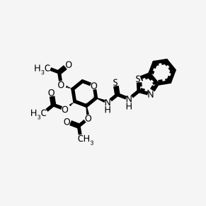 CC(=O)O[C@H]1[C@H](OC(C)=O)[C@H](OC(C)=O)CO[C@H]1NC(=S)Nc1nc2ccccc2s1